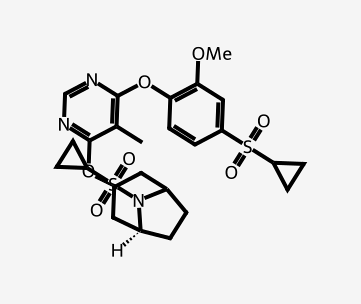 COc1cc(S(=O)(=O)C2CC2)ccc1Oc1ncnc(O[C@H]2CC3CC[C@@H](C2)N3S(=O)(=O)C2CC2)c1C